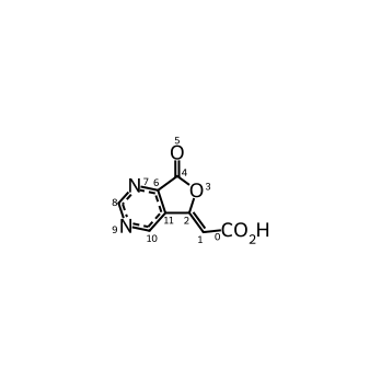 O=C(O)/C=C1\OC(=O)c2ncncc21